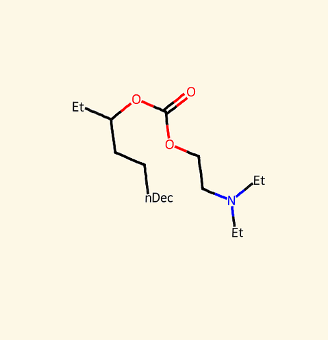 [CH2]CC(CCCCCCCCCCCC)OC(=O)OCCN(CC)CC